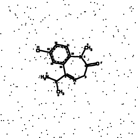 CC(N)C1=NCC(=O)N(C)c2ccc(Cl)cc21